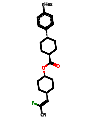 CCCCCCc1ccc([C@H]2CC[C@H](C(=O)O[C@H]3CC[C@H](C=C(F)C#N)CC3)CC2)cc1